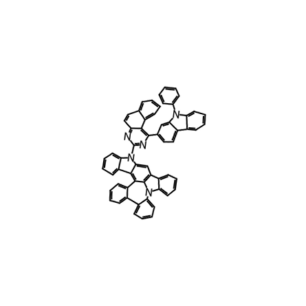 c1ccc(-n2c3ccccc3c3ccc(-c4nc(-n5c6ccccc6c6c7c8c(cc65)c5ccccc5n8-c5ccccc5-c5ccccc5-7)nc5ccc6ccccc6c45)cc32)cc1